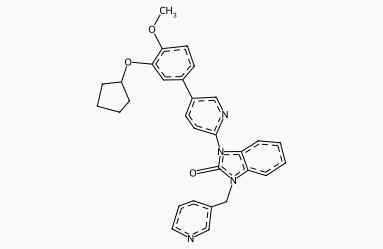 COc1ccc(-c2ccc(-n3c(=O)n(Cc4cccnc4)c4ccccc43)nc2)cc1OC1CCCC1